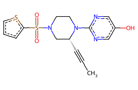 CC#C[C@@H]1CN(S(=O)(=O)c2cccs2)CCN1c1ncc(O)cn1